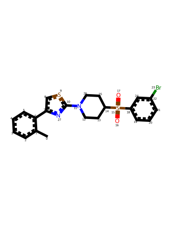 Cc1ccccc1-c1csc(N2CCC(S(=O)(=O)c3cccc(Br)c3)CC2)n1